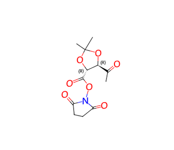 CC(=O)[C@@H]1OC(C)(C)O[C@H]1C(=O)ON1C(=O)CCC1=O